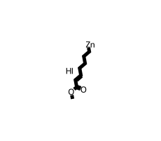 COC(=O)C=CCCC[CH2][Zn].I